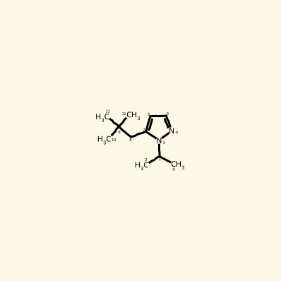 CC(C)n1nccc1CC(C)(C)C